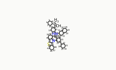 CC1(C)c2ccccc2-c2ccc(Nc3cc4ccccc4cc3-c3cc(-c4ccccc4)cc4c3Bc3cccc5c6sc7ccccc7c6n-4c35)cc21